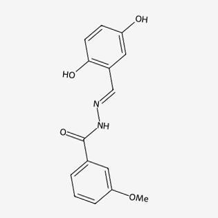 COc1cccc(C(=O)NN=Cc2cc(O)ccc2O)c1